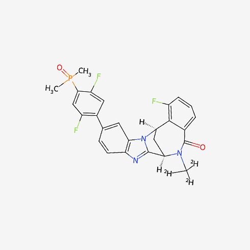 [2H]C([2H])([2H])N1C(=O)c2cccc(F)c2[C@H]2C[C@@H]1c1nc3ccc(-c4cc(F)c(P(C)(C)=O)cc4F)cc3n12